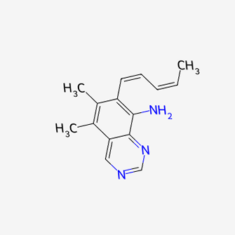 C/C=C\C=C/c1c(C)c(C)c2cncnc2c1N